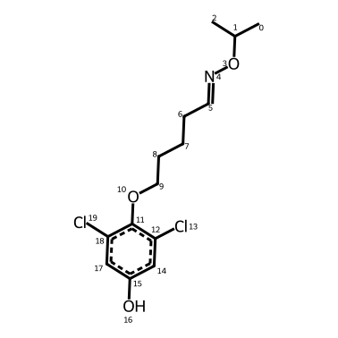 CC(C)O/N=C/CCCCOc1c(Cl)cc(O)cc1Cl